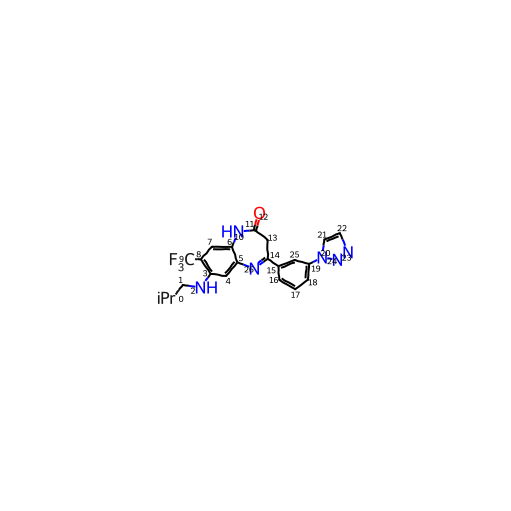 CC(C)CNc1cc2c(cc1C(F)(F)F)NC(=O)CC(c1cccc(-n3ccnn3)c1)=N2